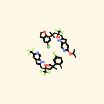 CC(C)Oc1cc2cc(CC(O)(CC(C)(C)c3cc(Cl)cc4c3OCC4)C(F)(F)F)[nH]c2cn1.Cc1ccc(F)cc1C(C)(C)CC(O)(Cc1cc2cc(C(F)(F)F)ncc2[nH]1)C(F)(F)F